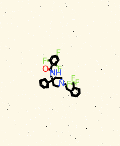 O=C(NCC1(c2ccccc2)CCN(CCc2ccccc2C(F)(F)F)CC1)c1c(F)cc(F)cc1F